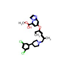 C=C/C(=C\C=C(/C)CN1CCC(c2cc(Cl)cc(Cl)c2)CC1)Oc1cc(C(O)OC)n2ccnc2c1